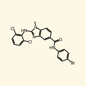 Cn1c(Nc2c(Cl)cccc2Cl)nc2cc(C(=O)Nc3ccc(Br)cc3)ccc21